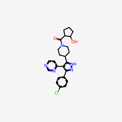 O=C(C1CCCC1O)N1CCC(c2[nH]nc(-c3ccc(Cl)cc3)c2-c2ccncn2)CC1